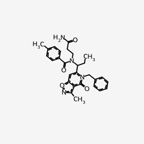 CCC(c1cc2onc(C)c2c(=O)n1Cc1ccccc1)N(CCC(N)=O)C(=O)c1ccc(C)cc1